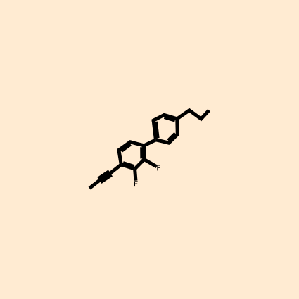 CC#Cc1ccc(-c2ccc(CCC)cc2)c(F)c1F